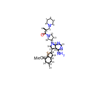 C=C(CN1CCCCC1)C(=O)N1CC[C@H](n2cc(-c3cc4cc(C)cc(OC)c4s3)c3c(N)ncnc32)C1